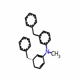 CN(C1=C[C@@H](Cc2ccccc2)CC=C1)c1cccc(Cc2ccccc2)c1